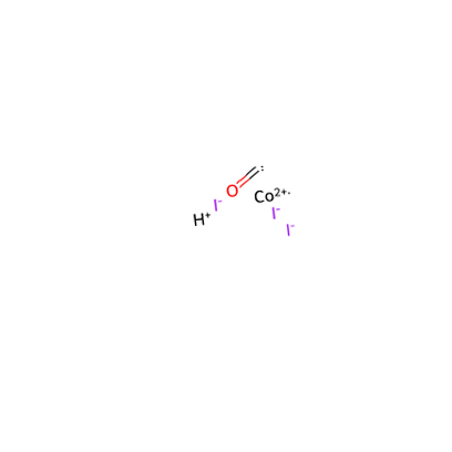 [C]=O.[Co+2].[H+].[I-].[I-].[I-]